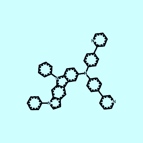 c1ccc(-n2ccc3cc4c5cc(N(c6ccc(-c7cccnc7)cc6)c6ccc(-c7ccccn7)cc6)ccc5n(-c5ccccc5)c4cc32)cc1